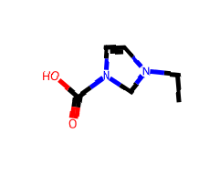 CCN1C=CN(C(=O)O)C1